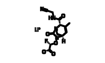 CC1=C[C@@H]2CN(C(=O)N2O[C@@H](F)C(=O)[O-])[C@@H]1C(=O)NCC#N.[Li+]